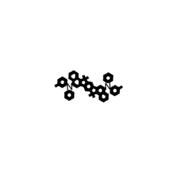 Cc1cccc(N(C2=CC3=C(C4=CC=CCC42)C(C)(C)c2cc4c(cc23)C(C)(C)c2c-4cc(N(c3ccccc3)c3cccc(C)c3)c3ccccc23)c2ccccc2)c1